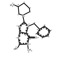 CCCc1nc2nc(N3CCCC(N)C3)n(Cc3ccccc3)c2c(=O)n1C